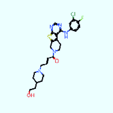 O=C(C=CCN1CCC(CCO)CC1)N1CCc2c(sc3ncnc(Nc4ccc(F)c(Cl)c4)c23)C1